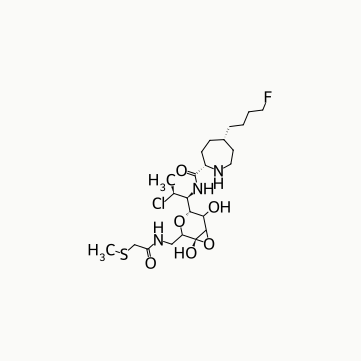 CSCC(=O)NCC1O[C@H]([C@H](NC(=O)[C@@H]2CC[C@H](CCCCF)CCN2)[C@H](C)Cl)C(O)C2O[C@]12O